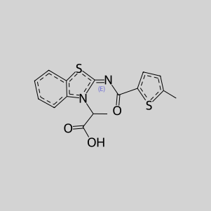 Cc1ccc(C(=O)/N=c2/sc3ccccc3n2C(C)C(=O)O)s1